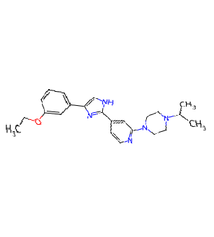 CCOc1cccc(-c2c[nH]c(-c3ccnc(N4CCN(C(C)C)CC4)c3)n2)c1